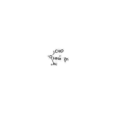 CC(=O)OC=O.[NaH].[Zn]